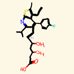 CCc1c(C)sc2nc(C(C)C)c(/C=C/C(O)CC(O)CC(=O)O)c(-c3ccc(F)cc3)c12